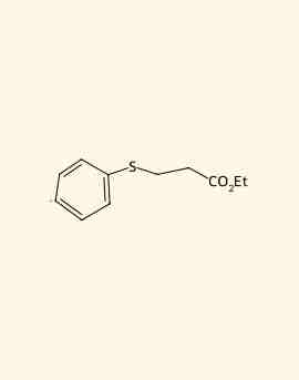 CCOC(=O)CCSc1cc[c]cc1